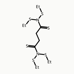 CCSN(SCC)C(=S)CCC(=S)N(SCC)SCC